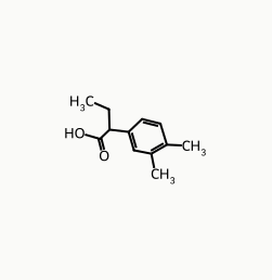 CCC(C(=O)O)c1ccc(C)c(C)c1